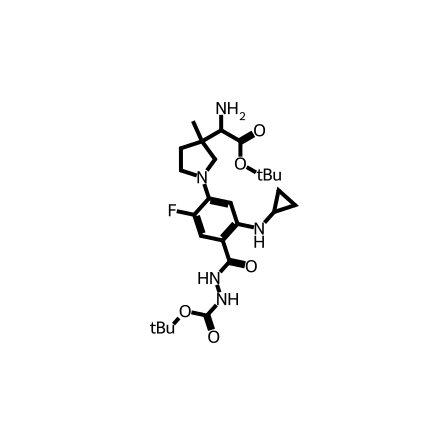 CC(C)(C)OC(=O)NNC(=O)c1cc(F)c(N2CCC(C)(C(N)C(=O)OC(C)(C)C)C2)cc1NC1CC1